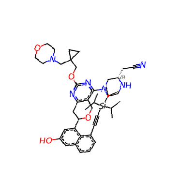 CC(C)[Si](C#Cc1cccc2cc(O)cc(C3Cc4nc(OCC5(CN6CCOCC6)CC5)nc(N5CCN[C@@H](CC#N)C5)c4CO3)c12)(C(C)C)C(C)C